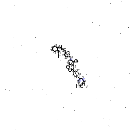 C#C/C=C\C(=C/C)N1CCN(C(=O)CN2C(=O)S/C(=C\c3ccc(Sc4nc5ccccc5[nH]4)o3)C2=O)CC1